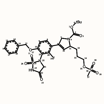 CC(C)(C)OC(=O)N1CC(c2ccc(OCc3ccccc3)c(N3CC(=O)NS3(=O)=O)c2F)=CC1CCCOS(C)(=O)=O